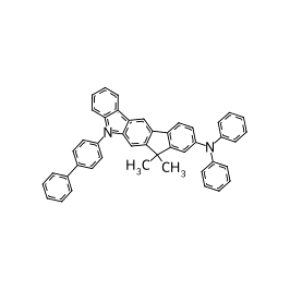 CC1(C)c2cc(N(c3ccccc3)c3ccccc3)ccc2-c2cc3c4ccccc4n(-c4ccc(-c5ccccc5)cc4)c3cc21